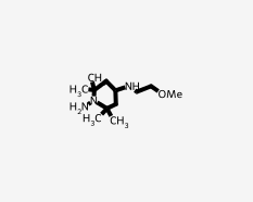 COCCNC1CC(C)(C)N(N)C(C)(C)C1